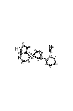 N#Cc1ccccc1-n1cc(-c2ccnc3[nH]ccc23)cn1